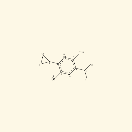 CC(C)c1cc(Br)c(C2CC2)nc1F